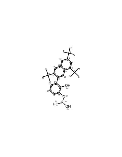 CC(C)(C)c1cc(C(C)(C)C)c2cc(-c3cccc(OP(O)O)c3O)c(C(C)(C)C)cc2c1